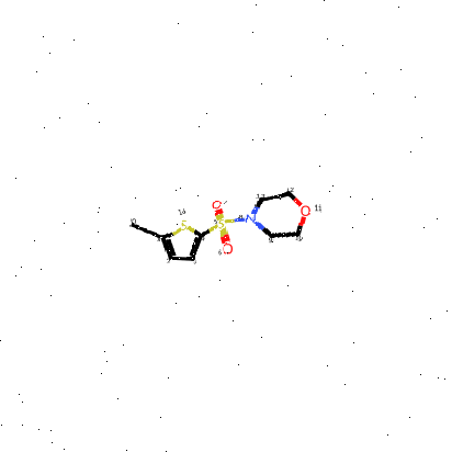 Cc1ccc(S(=O)(=O)N2CCOCC2)s1